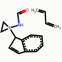 C=CC=C.O=C[NH][Ti]1([CH]2C=Cc3ccccc32)[CH2][CH2]1